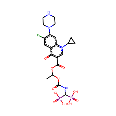 CC(OC(=O)NC(P(=O)(O)O)P(=O)(O)O)OC(=O)c1cn(C2CC2)c2cc(N3CCNCC3)c(F)cc2c1=O